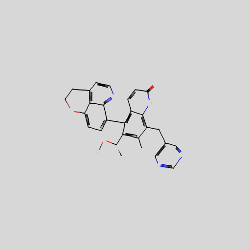 Cc1c([C@H](OC(C)(C)C)C(=O)O)c(-c2ccc3c4c(ccnc24)CCO3)c2ccc(=O)[nH]c2c1Cc1cncnc1